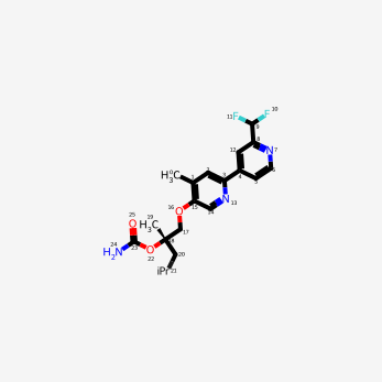 Cc1cc(-c2ccnc(C(F)F)c2)ncc1OC[C@](C)(CC(C)C)OC(N)=O